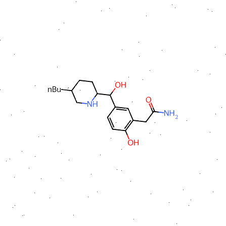 CCCCC1CCC(C(O)c2ccc(O)c(CC(N)=O)c2)NC1